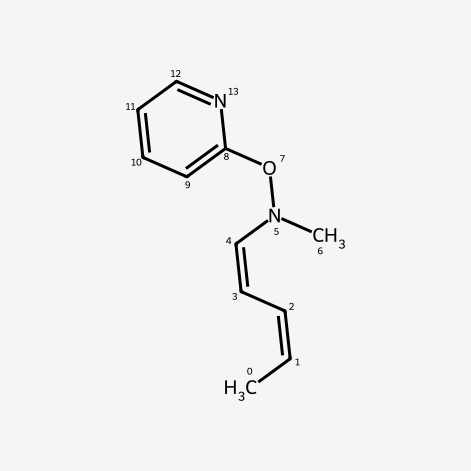 C/C=C\C=C/N(C)Oc1ccccn1